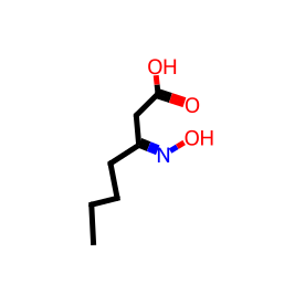 CCCCC(CC(=O)O)=NO